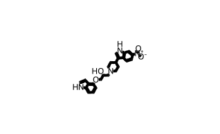 O=[N+]([O-])c1ccc2c(C3CCN(CC(O)COc4cccc5[nH]ccc45)CC3)c[nH]c2c1